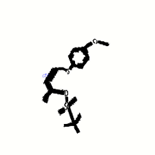 COc1ccc(S/C=C\C(C)O[Si](C)(C)C(C)(C)C)cc1